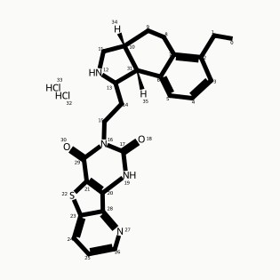 CCc1cccc2c1CC[C@H]1CNC(CCn3c(=O)[nH]c4c(sc5cccnc54)c3=O)[C@@H]21.Cl.Cl